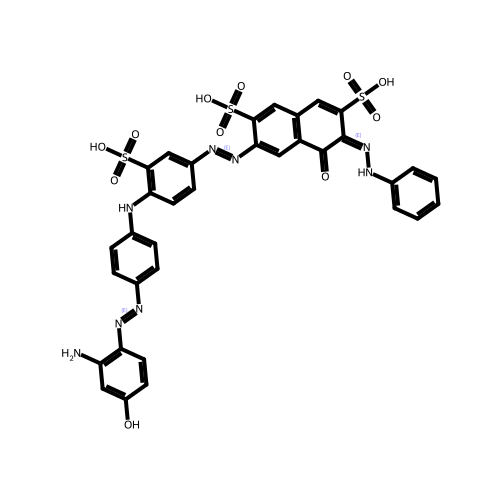 Nc1cc(O)ccc1/N=N/c1ccc(Nc2ccc(/N=N/c3cc4c(cc3S(=O)(=O)O)C=C(S(=O)(=O)O)/C(=N/Nc3ccccc3)C4=O)cc2S(=O)(=O)O)cc1